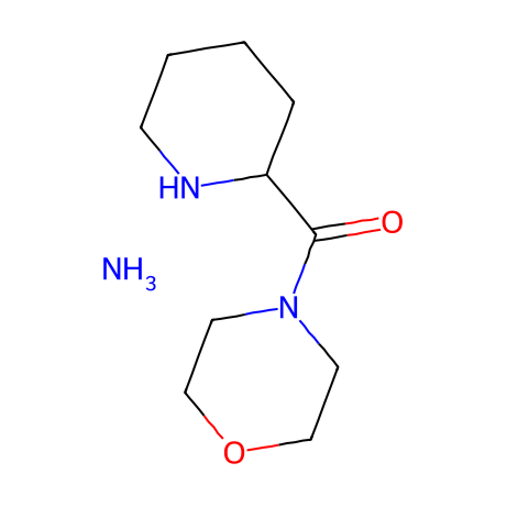 N.O=C(C1CCCCN1)N1CCOCC1